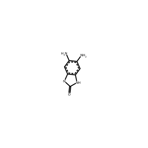 Nc1cc2c(cc1N)NC(=O)[N]2